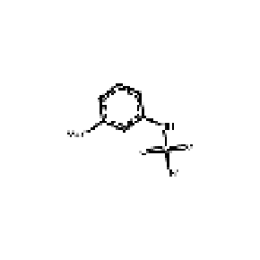 COc1cccc(NS(=O)(=O)C(C)C)c1